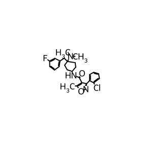 Cc1onc(-c2ccccc2Cl)c1C(=O)NC1CCC(Cc2cccc(F)c2)(N(C)C)CC1